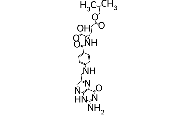 CC(C)COC(=O)CC[C@H](NC(=O)c1ccc(NCc2cnc3[nH]c(N)nc(=O)c3n2)cc1)C(=O)O